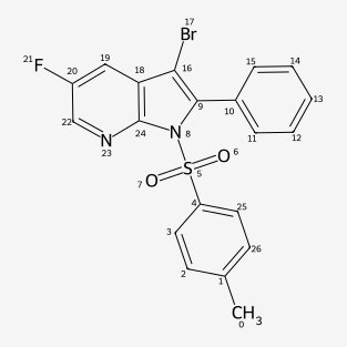 Cc1ccc(S(=O)(=O)n2c(-c3ccccc3)c(Br)c3cc(F)cnc32)cc1